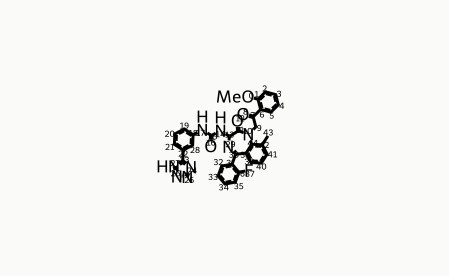 COc1ccccc1C(=O)CN1C(=O)C(NC(=O)Nc2cccc(-c3nnn[nH]3)c2)N=C(c2ccccc2F)c2cccc(C)c21